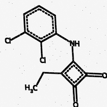 CCc1c(Nc2cccc(Cl)c2Cl)c(=O)c1=O